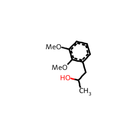 COc1cccc(CC(C)O)c1OC